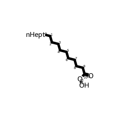 CCCCCCCCCCCCCCCCC(=O)OO